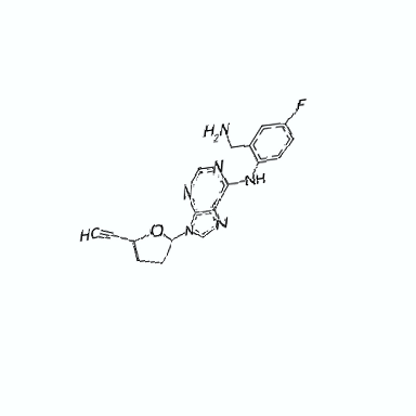 C#CC1CCC(n2cnc3c(Nc4ccc(F)cc4CN)ncnc32)O1